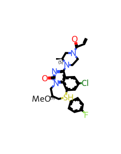 C=CC(=O)N1CCN(c2nc(=O)n3c4c(cc(Cl)cc24)[SH](c2ccc(F)cc2)C[C@@H](OC)C3)[C@@H](C)C1